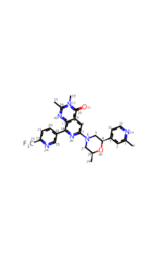 Cc1cc([C@@H]2CN(c3cc4c(=O)n(C)c(C)nc4c(-c4ccc(C(F)(F)F)nc4)n3)C[C@H](C)O2)ccn1